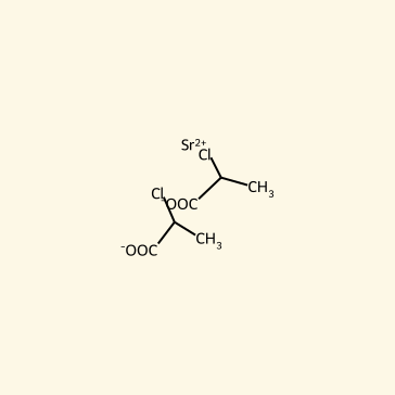 CC(Cl)C(=O)[O-].CC(Cl)C(=O)[O-].[Sr+2]